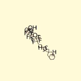 CCC1(COCCCC(F)(F)C(F)(F)OC(F)(F)C(F)(F)S(=O)(=O)O)CC2CCC[C@H](C2)C1